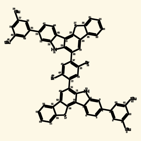 CC(C)(C)c1cc(-c2ccc3c(c2)[nH]c2c(-c4cc(Br)c(-c5cc6c7ccccc7sc6c6c5[nH]c5cc(-c7cc(C(C)(C)C)cc(C(C)(C)C)c7)ccc56)cc4Br)cc4c5ccccc5sc4c23)cc(C(C)(C)C)c1